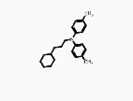 Cc1ccc(N(CCCC2CCCCC2)c2ccc(C)cc2)cc1